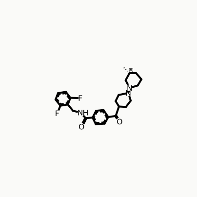 C[C@@H]1CCCN(N2CCC(C(=O)c3ccc(C(=O)NCc4c(F)cccc4F)cc3)CC2)C1